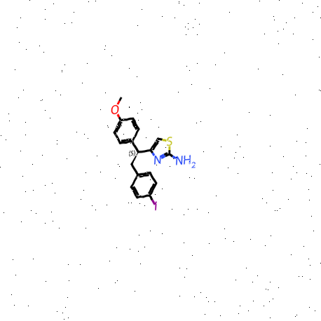 COc1ccc([C@H](Cc2ccc(I)cc2)c2csc(N)n2)cc1